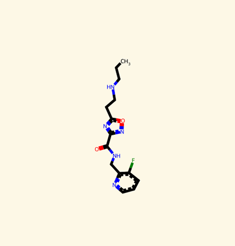 CCCNCCc1nc(C(=O)NCc2ncccc2F)no1